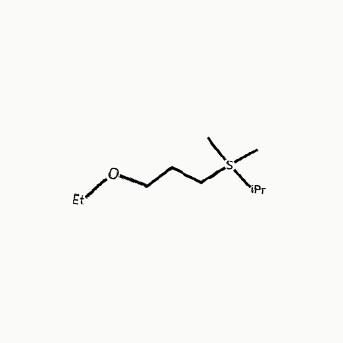 CCOCCCS(C)(C)C(C)C